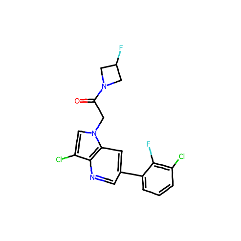 O=C(Cn1cc(Cl)c2ncc(-c3cccc(Cl)c3F)cc21)N1CC(F)C1